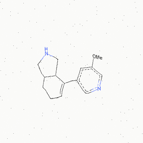 COc1cncc(C2=CCCC3CNCC23)c1